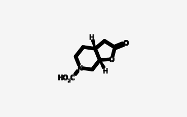 O=C1C[C@H]2CCN(C(=O)O)C[C@H]2O1